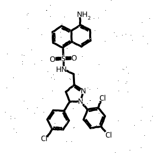 Nc1cccc2c(S(=O)(=O)NCC3=NN(c4ccc(Cl)cc4Cl)C(c4ccc(Cl)cc4)C3)cccc12